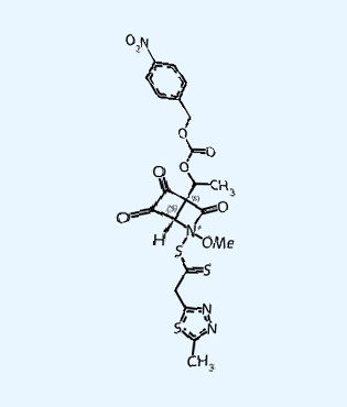 CO[N+]1(SC(=S)Cc2nnc(C)s2)C(=O)[C@@]2(C(C)OC(=O)OCc3ccc([N+](=O)[O-])cc3)C(=O)C(=O)[C@H]21